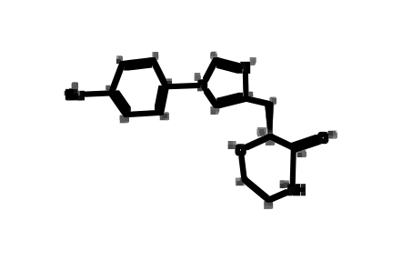 CC(C)(C)c1ccc(-n2cnc(C[C@@H]3OCCNC3=O)c2)cc1